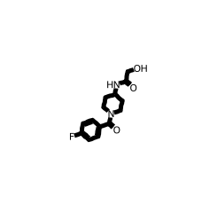 O=C(CO)NC1CCN(C(=O)c2ccc(F)cc2)CC1